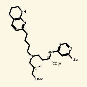 COC[C@@H](F)CN(CCCCc1ccc2c(n1)NCCC2)CC[C@H](Nc1cc(C(C)(C)C)ncn1)C(=O)O